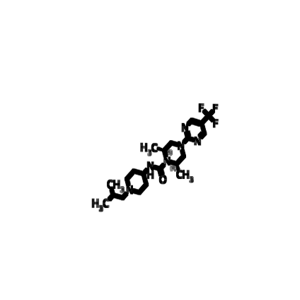 CC(C)CN1CCC(NC(=O)N2[C@H](C)CN(c3ncc(C(F)(F)F)cn3)C[C@@H]2C)CC1